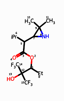 CCC(OC(=O)C(C(C)C)C1NC1(C)C)C(O)(C(F)(F)F)C(F)(F)F